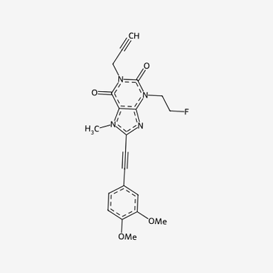 C#CCn1c(=O)c2c(nc(C#Cc3ccc(OC)c(OC)c3)n2C)n(CCF)c1=O